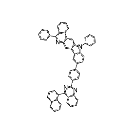 c1ccc(-c2nc3cc4c5cc(-c6ccc(-c7nc(-c8cccc9ccccc89)c8ccccc8n7)cc6)ccc5n(-c5ccccc5)c4cc3c3ccccc23)cc1